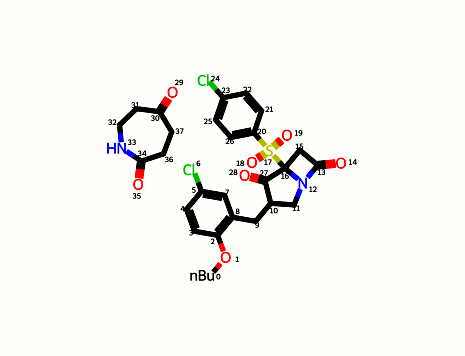 CCCCOc1ccc(Cl)cc1CC1CN2C(=O)CC2(S(=O)(=O)c2ccc(Cl)cc2)C1=O.O=C1CCNC(=O)CC1